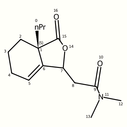 CCC[C@]12CCCC=C1C(CC(=O)N(C)C)OC2=O